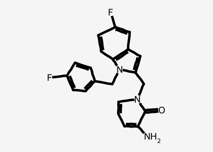 Nc1cccn(Cc2cc3cc(F)ccc3n2Cc2ccc(F)cc2)c1=O